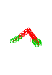 CCOC(C)=O.CCOC(C)=O.CCOC(C)=O.CCOC(C)=O.CCOC(C)=O.CCOC(C)=O.CCOC(C)=O.CCOC(C)=O.CCOC(C)=O.CCOC(C)=O.CO.ClCCl.ClCCl.ClCCl.ClCCl.ClCCl.ClCCl.ClCCl.ClCCl.ClCCl.ClCCl